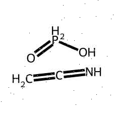 C=C=N.O=[PH2]O